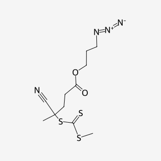 CSC(=S)SC(C)(C#N)CCC(=O)OCCCN=[N+]=[N-]